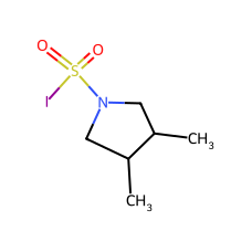 CC1CN(S(=O)(=O)I)CC1C